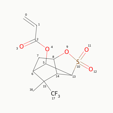 C=CC(=O)OC1C2CC3OS(=O)(=O)C1C3C2(C)C(F)(F)F